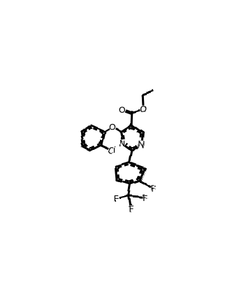 CCOC(=O)c1cnc(-c2ccc(C(F)(F)F)c(F)c2)nc1Oc1ccccc1Cl